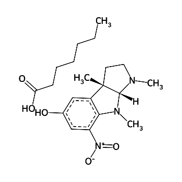 CCCCCCC(=O)O.CN1CC[C@@]2(C)c3cc(O)cc([N+](=O)[O-])c3N(C)[C@@H]12